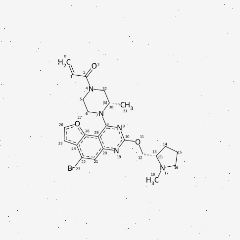 C=CC(=O)N1CCN(c2nc(OC[C@@H]3CCCN3C)nc3cc(Br)c4ccoc4c23)[C@@H](C)C1